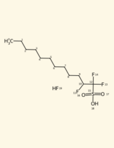 CCCCCCCCCCC(F)C(F)(F)S(=O)(=O)O.F